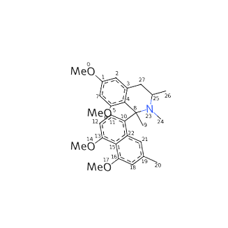 COc1cc2c(c(OC)c1)C(C)(c1ccc(OC)c3c(OC)cc(C)cc13)N(C)C(C)C2